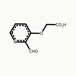 O=Cc1ncccc1OCC(=O)O